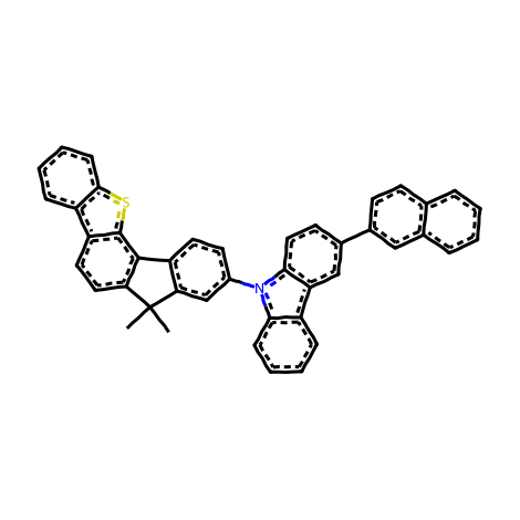 CC1(C)c2cc(-n3c4ccccc4c4cc(-c5ccc6ccccc6c5)ccc43)ccc2-c2c1ccc1c2sc2ccccc21